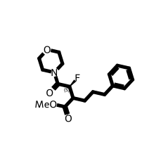 COC(=O)C(CCCc1ccccc1)[C@H](F)C(=O)N1CCOCC1